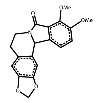 COc1ccc2c(c1OC)C(=O)N1CCc3cc4c(cc3C21)OCO4